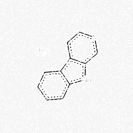 S.c1ccc2c(c1)[nH]c1cnccc12